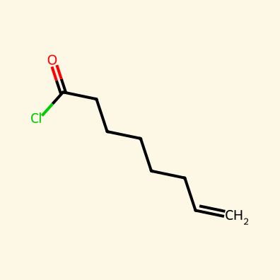 C=CCCCCCC(=O)Cl